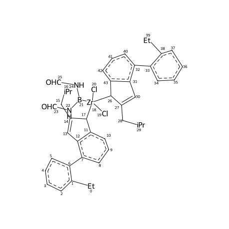 CCc1ccccc1-c1cccc2c1C=C(CC(C)C)[CH]2[Zr]([Cl])([Cl])([B](NC=O)NC=O)[CH]1C(CC(C)C)=Cc2c(-c3ccccc3CC)cccc21